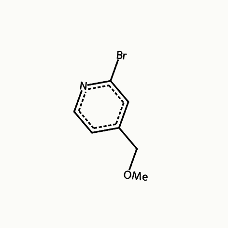 COCc1ccnc(Br)c1